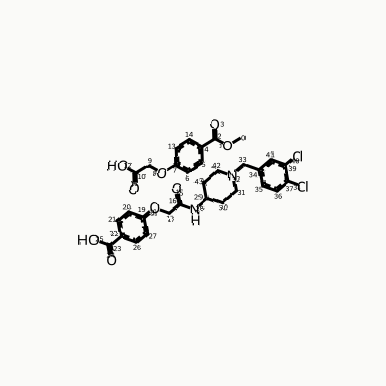 COC(=O)c1ccc(OCC(=O)O)cc1.O=C(COc1ccc(C(=O)O)cc1)NC1CCN(Cc2ccc(Cl)c(Cl)c2)CC1